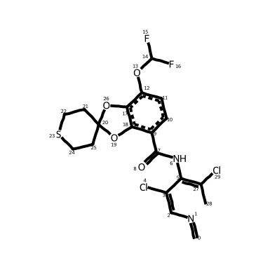 C=N/C=C(Cl)\C(NC(=O)c1ccc(OC(F)F)c2c1OC1(CCSCC1)O2)=C(/C)Cl